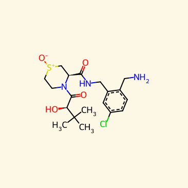 CC(C)(C)[C@@H](O)C(=O)N1CC[S+]([O-])C[C@H]1C(=O)NCc1cc(Cl)ccc1CN